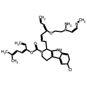 C=C/C=C(\C=C/CC1c2[nH]c3c(c2CCN1C(=O)O/C(C=C)=C/C=C(C)C)=CC(Cl)CC=3)OCCN(N)/C=C\N=C